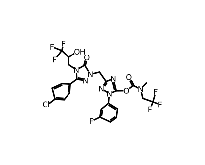 CN(CC(F)(F)F)C(=O)Oc1nc(Cn2nc(-c3ccc(Cl)cc3)n(CC(O)C(F)(F)F)c2=O)nn1-c1cccc(F)c1